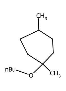 CCCCOC1(C)CCC(C)CC1